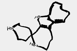 c1ccc2c3c([nH]c2c1)C1(CCNCC1)NCC3